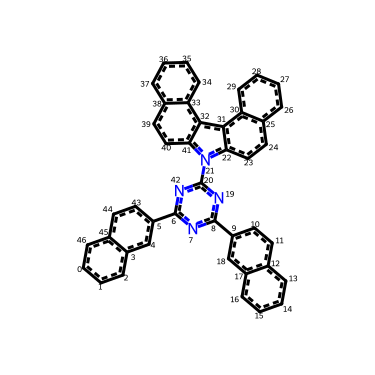 c1ccc2cc(-c3nc(-c4ccc5ccccc5c4)nc(-n4c5ccc6ccccc6c5c5c6ccccc6ccc54)n3)ccc2c1